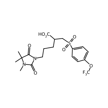 CN1C(=O)N(CCCC(CS(=O)(=O)c2ccc(OC(F)(F)F)cc2)C(=O)O)C(=O)C1(C)C